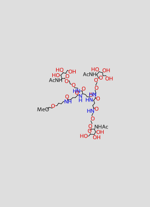 COCCOCCCCNC(=O)CCCC(=O)NC(CCC(=O)NC(CCC(=O)NCCOCCOC1OC(CO)C(O)C(O)C1NC(C)=O)C(=O)NCCOCCOC1OC(CO)C(O)C(O)C1NC(C)=O)C(=O)NCCOCCOC1OC(CO)C(O)C(O)C1NC(C)=O